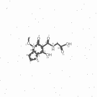 COn1c(=O)c(C(=O)NCC(=O)O)c(O)c2sccc21